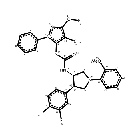 CCOc1nn(-c2ccccc2)c(NC(=O)N[C@@H]2CN(c3ccccc3OC)C[C@H]2c2ccc(F)c(F)c2)c1C